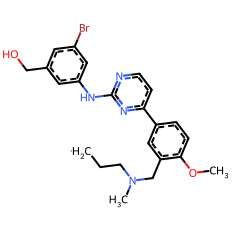 [CH2]CCN(C)Cc1cc(-c2ccnc(Nc3cc(Br)cc(CO)c3)n2)ccc1OC